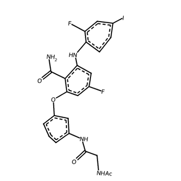 CC(=O)NCC(=O)Nc1cccc(Oc2cc(F)cc(Nc3ccc(I)cc3F)c2C(N)=O)c1